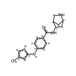 O=C(NC1CC2CC1CN2)c1ccc(Oc2cc(Cl)cs2)cc1